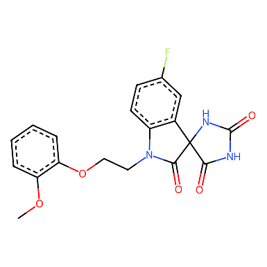 COc1ccccc1OCCN1C(=O)C2(NC(=O)NC2=O)c2cc(F)ccc21